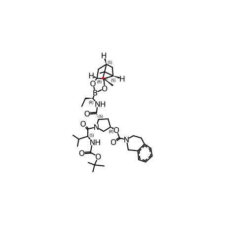 CC[C@H](NC(=O)[C@@H]1C[C@@H](OC(=O)N2CCc3ccccc3C2)CN1C(=O)[C@@H](NC(=O)OC(C)(C)C)C(C)C)B1O[C@@H]2C[C@@H]3C[C@@H](C3(C)C)[C@]2(C)O1